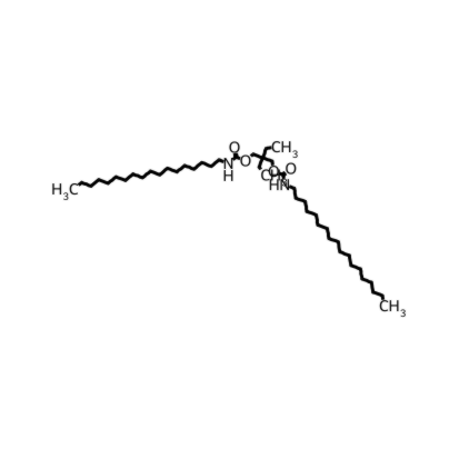 CCCCCCCCCCCCCCCCCCNC(=O)OCC(CC)(CC)COC(=O)NCCCCCCCCCCCCCCCCCC